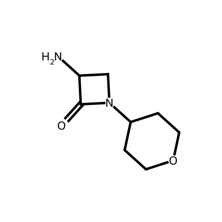 NC1CN(C2CCOCC2)C1=O